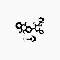 CN1c2ccccc2S(=O)(=O)c2ccc(C(CC3(C)COC3)C(=O)Nc3nccs3)cc21.Nc1nccs1